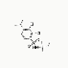 CCC(C)(C)NS(=O)(=O)c1ccc(C(C)C)c(Cl)c1Cl